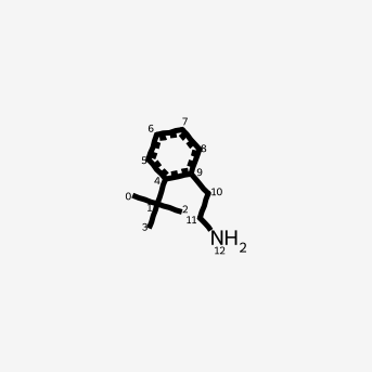 CC(C)(C)c1ccccc1CCN